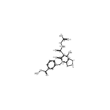 COC(=O)c1cccc(Cn2c3c(c(O)c(C(=O)NCC(=O)O)c2=O)COC3)c1